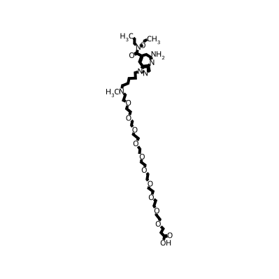 CCCN(OCC)C(=O)C1=Cc2c(cnn2CCCCCN(C)CCOCCOCCOCCOCCOCCOCCOCCOCCOCCOCCC(=O)O)N=C(N)C1